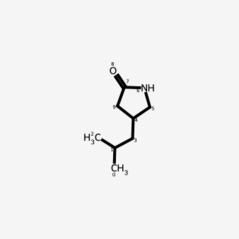 CC(C)CC1CNC(=O)C1